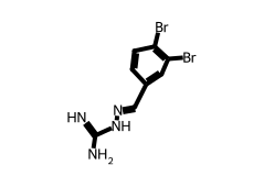 N=C(N)N/N=C/c1ccc(Br)c(Br)c1